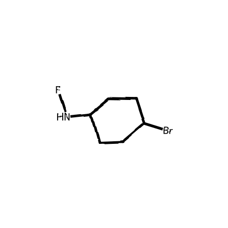 FNC1CCC(Br)CC1